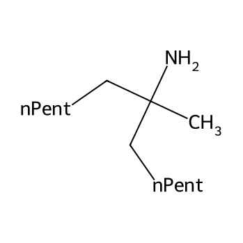 CCCCCCC(C)(N)CCCCCC